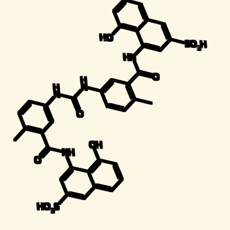 Cc1ccc(NC(=O)Nc2ccc(C)c(C(=O)Nc3cc(S(=O)(=O)O)cc4cccc(O)c34)c2)cc1C(=O)Nc1cc(S(=O)(=O)O)cc2cccc(O)c12